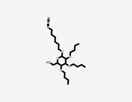 CCCCOC1C(CO)OC(OCCCCCCN=[N+]=[N-])C(OCCCC)C1OCCCC